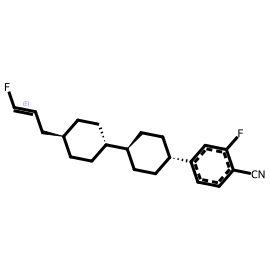 N#Cc1ccc([C@H]2CC[C@H]([C@H]3CC[C@H](C/C=C/F)CC3)CC2)cc1F